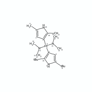 Cc1c[c]([Hf]([c]2cc(C(C)(C)C)[nH]c2C(C)(C)C)([N](C)C)[N](C)C)c(C)[nH]1